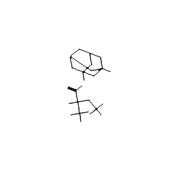 CC(C)(O)CC(C)(C(=O)OC12CC3CC(CC(O)(C3)C1)C2)C(C)(C)C